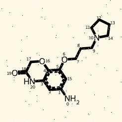 Nc1cc2c(c(OCCCN3CCCC3)c1)OCC(=O)N2